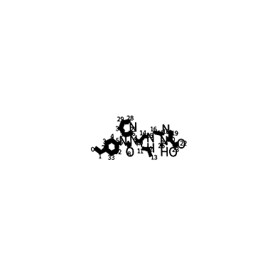 C=Cc1ccc(-n2c(=O)n([C@@H](CCC)CNCc3ncc(C(=O)O)n3C)c3ncccc32)cc1